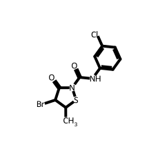 CC1SN(C(=O)Nc2cccc(Cl)c2)C(=O)C1Br